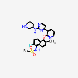 CCC(C)CS(=O)(=O)Nc1c(F)ccc2c(Oc3ncccc3-c3ccnc(NC4CCCNC4)n3)c(C)ccc12